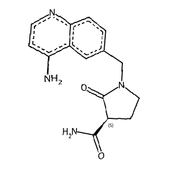 NC(=O)[C@@H]1CCN(Cc2ccc3nccc(N)c3c2)C1=O